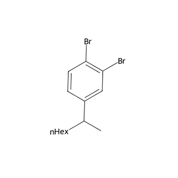 CCCCCCC(C)c1ccc(Br)c(Br)c1